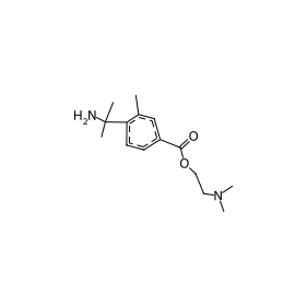 Cc1cc(C(=O)OCCN(C)C)ccc1C(C)(C)N